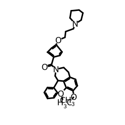 COc1ccc2c(c1OC)C(c1ccccc1)CN(C(=O)c1ccc(OCCCN3CCCCC3)cc1)CC2